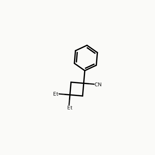 CCC1(CC)CC(C#N)(c2ccccc2)C1